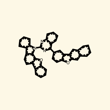 c1ccc2cc3c(cc2c1)oc1ccc(-c2nc(-n4c5ccccc5c5ccc6c7ccccc7oc6c54)nc4ccccc24)cc13